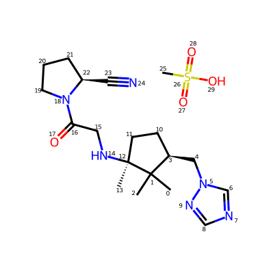 CC1(C)[C@H](Cn2cncn2)CC[C@]1(C)NCC(=O)N1CCC[C@H]1C#N.CS(=O)(=O)O